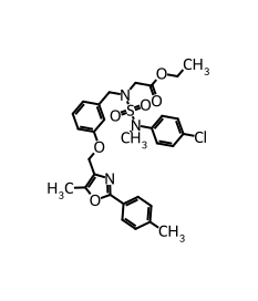 CCOC(=O)CN(Cc1cccc(OCc2nc(-c3ccc(C)cc3)oc2C)c1)S(=O)(=O)N(C)c1ccc(Cl)cc1